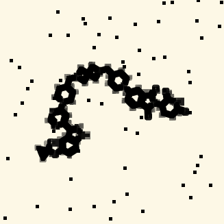 CC1(Oc2ccc3[nH]nc(-c4cc(N5CCC(CN6CC7(CN(CC8CCN(c9ccc%10c(c9)C(=O)N(C9CCC(=O)NC9=O)C%10=O)CC8)C7)C6)CC5)ncn4)c3c2)CC1